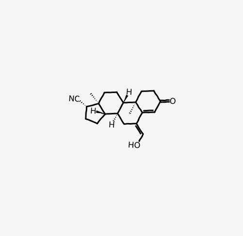 C[C@]12CC[C@H]3[C@@H](C/C(=C\O)C4=CC(=O)CC[C@@]43C)[C@@H]1CC[C@@H]2C#N